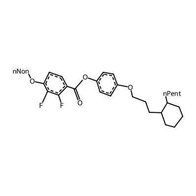 CCCCCCCCCOc1ccc(C(=O)Oc2ccc(OCCCC3CCCCC3CCCCC)cc2)c(F)c1F